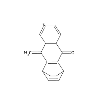 C=C1C2=C(C(=O)c3ccncc31)C1C=CC2CC1